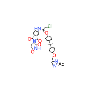 CC(=O)c1nccc(COc2ccc(C(C)(C)c3ccc(OC[C@H](CCCl)Nc4ccc5c(c4)C(=O)N(C4CCC(=O)NC4=O)C5=O)cc3)cc2)n1